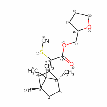 CC1(C)[C@@H]2CC[C@]1(C)C(C(SC#N)C(=O)OCC1CCCO1)C2